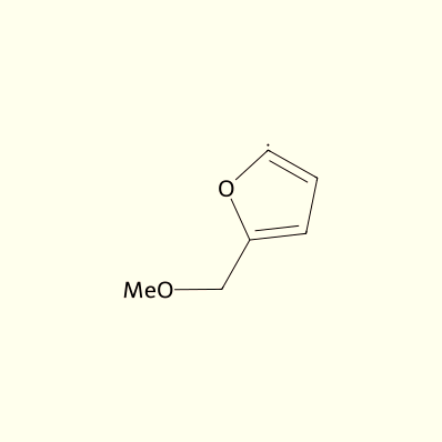 COCc1cc[c]o1